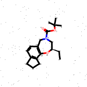 CC[C@@H]1CN(C(=O)OC(C)(C)C)Cc2ccc3c(c2O1)CCC3